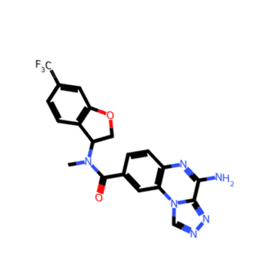 CN(C(=O)c1ccc2nc(N)c3nncn3c2c1)C1COc2cc(C(F)(F)F)ccc21